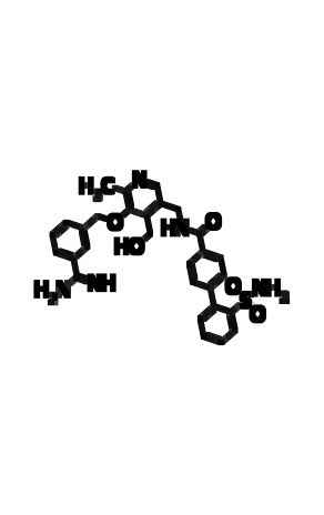 Cc1ncc(CNC(=O)c2ccc(-c3ccccc3S(N)(=O)=O)cc2)c(CO)c1OCc1cccc(C(=N)N)c1